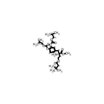 COC(=O)[C@@](N)(CCOC(=O)CC(C)(C)C)Cc1ccc(OC(=O)OCC(C)C)c(OC(=O)OCC(C)C)c1